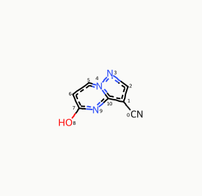 N#Cc1cnn2ccc(O)nc12